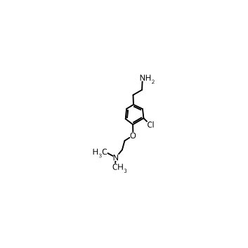 CN(C)CCOc1ccc(CCN)cc1Cl